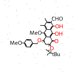 COc1ccc(CO[C@H]2C[C@H](O[Si](C)(C)C(C)(C)C)C(=O)c3c2c(OC)c2c(C)c(C)c(C=O)c(O)c2c3O)cc1